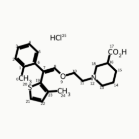 Cc1ccccc1C(=COCCN1CCCC(C(=O)O)C1)c1sccc1C.Cl